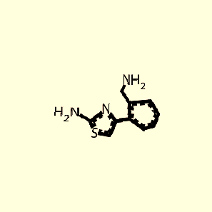 NCc1ccccc1-c1csc(N)n1